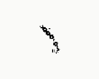 CCCC[C@H]1CC[C@H](CCC2CCC(c3cc(F)c(-c4ccc(Cl)cc4)c(F)c3)CC2)CC1